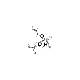 C=C(C)C(=O)O.C=CCOC(=O)C(=C)C